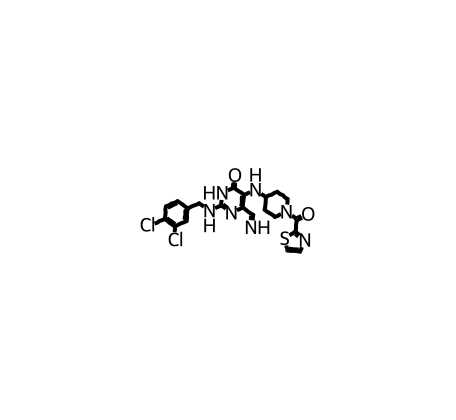 N=Cc1nc(NCc2ccc(Cl)c(Cl)c2)[nH]c(=O)c1NC1CCN(C(=O)c2nccs2)CC1